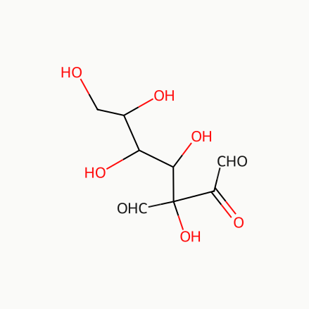 O=CC(=O)C(O)(C=O)C(O)C(O)C(O)CO